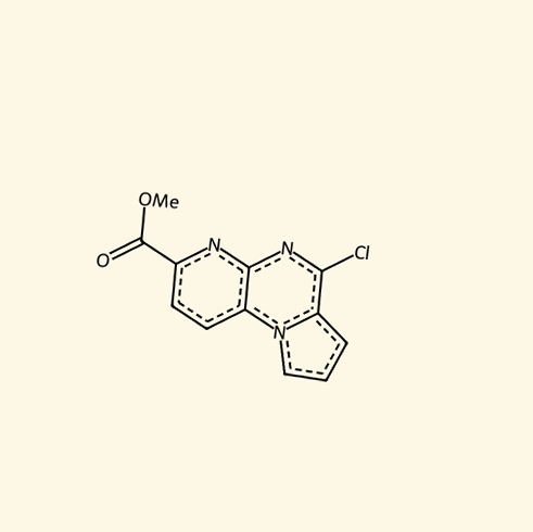 COC(=O)c1ccc2c(n1)nc(Cl)c1cccn12